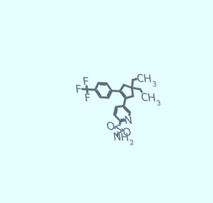 CCC1(CC)CC(c2ccc(C(F)(F)F)cc2)=C(c2ccc(S(N)(=O)=O)nc2)C1